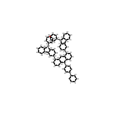 c1ccc(-c2ccc(-c3c4cccc(-c5ccc6c(c5)c5ccccc5n6-c5ccccc5)c4cc4c(-c5ccc6c(c5)c5ccccc5n6-c5ccccc5)cccc34)cc2)cc1